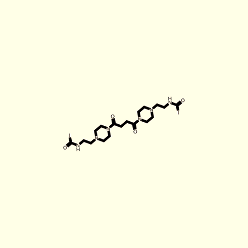 O=C(I)NCCN1CCN(C(=O)CCC(=O)N2CCN(CCNC(=O)I)CC2)CC1